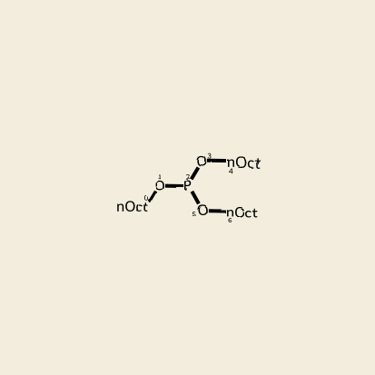 CCCCCCCCOP(OCCCCCCCC)OCCCCCCCC